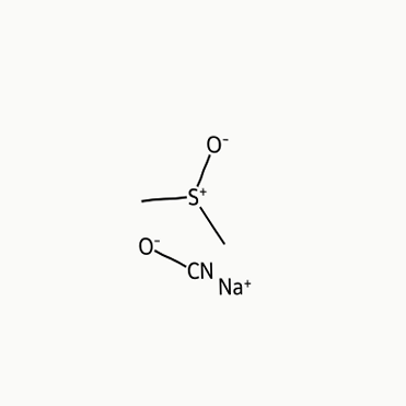 C[S+](C)[O-].N#C[O-].[Na+]